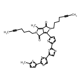 CC#CCCCCN1C(=O)C2=C(c3ccc(-c4ncc(-c5cnc(-c6ccc(C)s6)s5)s4)s3)N(CCCCC#CC)C(=O)C2=C1C